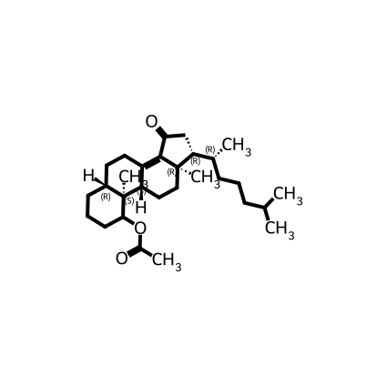 CC(=O)OC1CCC[C@@H]2CCC3=C4C(=O)C[C@H]([C@H](C)CCCC(C)C)[C@@]4(C)CC[C@@H]3[C@@]12C